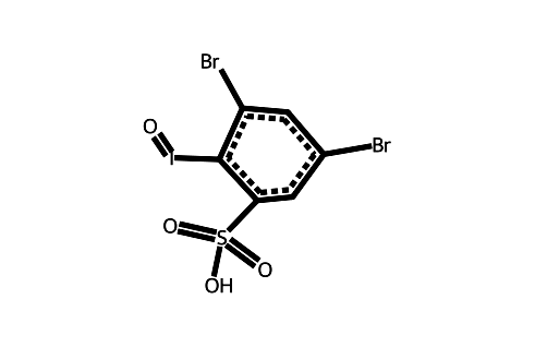 O=Ic1c(Br)cc(Br)cc1S(=O)(=O)O